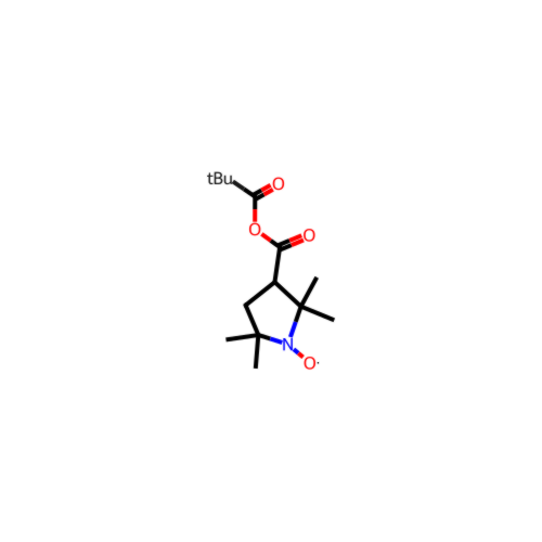 CC(C)(C)C(=O)OC(=O)C1CC(C)(C)N([O])C1(C)C